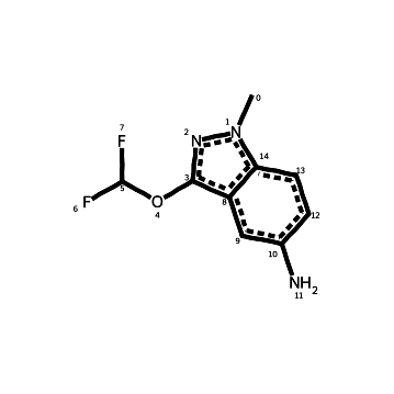 Cn1nc(OC(F)F)c2cc(N)ccc21